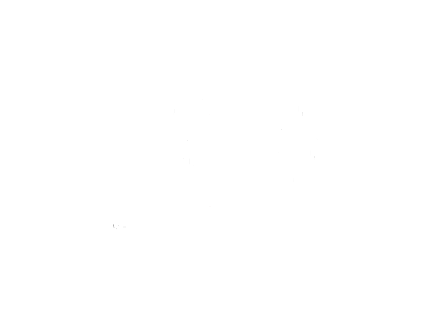 COc1cc(OC(C)C2(C)OB(B3OC(C)(C)C(C)(C)O3)OC2(C)C)cc(Br)c1Cl